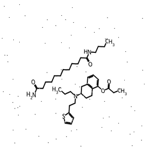 CCCCNC(=O)CCCCCCCCCCC(N)=O.CCCN(CCc1cccs1)[C@@H]1CCc2c(cccc2OC(=O)CC)C1